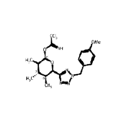 COc1ccc(Cn2nnc(C3O[C@H](OC(=N)C(Cl)(Cl)Cl)C(C)[C@@H](C)[C@@H]3C)n2)cc1